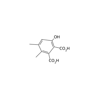 Cc1cc(O)c(C(=O)O)c(C(=O)O)c1C